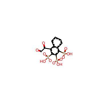 O=[C]C(=O)c1c(S(=O)(=O)O)c(S(=O)(=O)O)c(S(=O)(=O)O)c2ccccc12